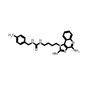 CCCCc1nc2c(N)nc3ccccc3c2n1CCCCNC(=O)NCc1ccc(C)cc1